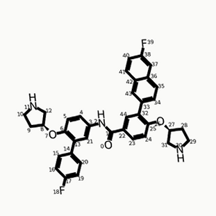 O=C(Nc1ccc(O[C@H]2CCNC2)c(-c2ccc(F)cc2)c1)c1ccc(O[C@H]2CCNC2)c(-c2ccc3cc(F)ccc3c2)c1